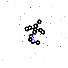 c1ccc(-c2ccc3c(-c4ccc5ccccc5c4)c4cc(-c5ccc6ccc7ccc(-c8ccccc8)nc7c6n5)ccc4c(-c4ccc5ccccc5c4)c3c2)cc1